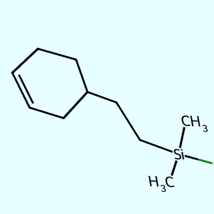 C[Si](C)(Cl)CCC1CC=CCC1